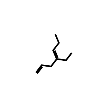 C=CCC(=CCC)CC